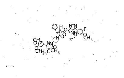 COc1cc(OCC2CC2)c(-c2ncnc3c(OC(=O)N[C@H](Cc4ccccc4)C(=O)N4CCC(N5N=C(c6ccc(OC)c(OC)c6)CC(C)(C)C5=O)CC4)c[nH]c23)cc1F